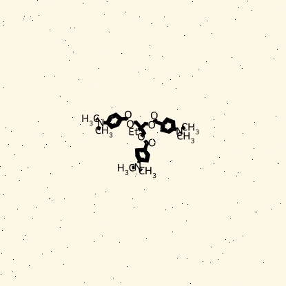 CCC(COC(=O)c1ccc(N(C)C)cc1)(COC(=O)c1ccc(N(C)C)cc1)COC(=O)c1ccc(N(C)C)cc1